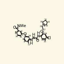 CNC(=O)c1cc(Oc2ccc(C)c(NNC(=O)Nc3cc(C)c(Cl)cc3OCCN3CCCC3)c2)ccn1